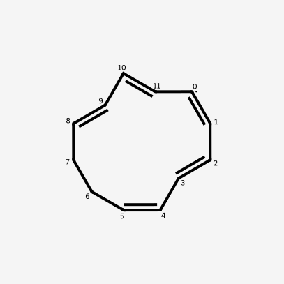 [C]1=C\C=C\C=C/CC/C=C/C=C/1